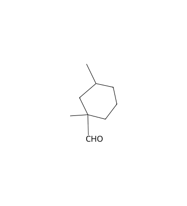 CC1CCCC(C)(C=O)C1